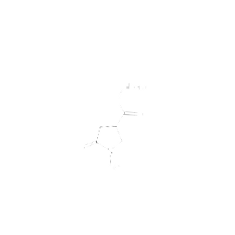 CCCCCOC(=O)C1CC(=O)N(CCC)C1